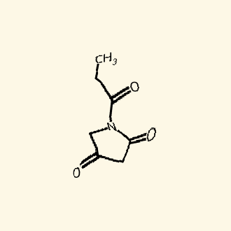 CCC(=O)N1CC(=O)CC1=O